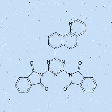 O=C1c2ccccc2C(=O)N1c1nc(-c2cccc3c2ccc2cccnc23)nc(N2C(=O)c3ccccc3C2=O)n1